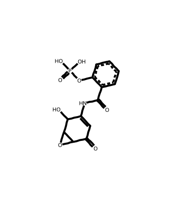 O=C(NC1=CC(=O)C2OC2C1O)c1ccccc1OP(=O)(O)O